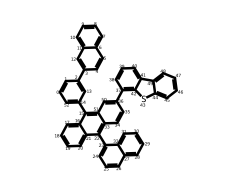 c1cc(-c2ccc3ccccc3c2)cc(-c2c3ccccc3c(-c3cccc4ccccc34)c3ccc(-c4cccc5c4sc4ccccc45)cc23)c1